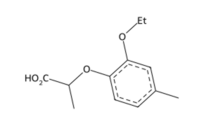 CCOc1cc(C)ccc1OC(C)C(=O)O